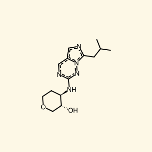 CC(C)Cc1ncc2cnc(N[C@@H]3CCOC[C@H]3O)nn12